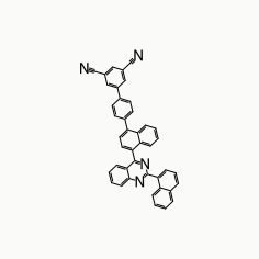 N#Cc1cc(C#N)cc(-c2ccc(-c3ccc(-c4nc(-c5cccc6ccccc56)nc5ccccc45)c4ccccc34)cc2)c1